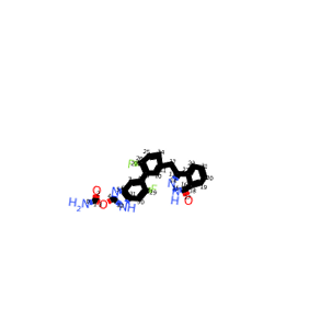 NC(=O)Oc1nc2cc(-c3cc(Cc4n[nH]c(=O)c5ccccc45)ccc3F)c(F)cc2[nH]1